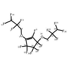 FC1=C(OCC(F)(F)C(F)F)C(F)(F)C(F)(F)C1(F)OCC(F)(F)C(F)F